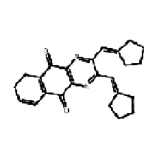 O=C1C2=C(CCC=C2)C(=O)c2nc(C=C3CCCC3)c(C=C3CCCC3)nc21